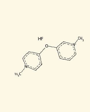 C[n+]1ccc(Oc2ccc[n+](C)c2)cc1.F